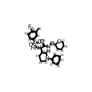 Cc1cc(S(=O)(=O)NC(C(=O)NOC2CCCCO2)C2CCCN(c3ccccc3)C2)ccc1F